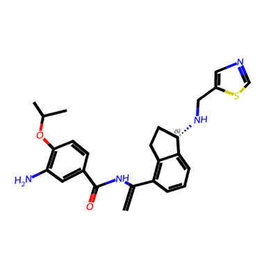 C=C(NC(=O)c1ccc(OC(C)C)c(N)c1)c1cccc2c1CC[C@@H]2NCc1cncs1